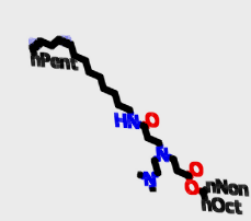 CCCCC/C=C\C/C=C\CCCCCCCCNC(=O)CCN(CCC(=O)OC(CCCCCCCC)CCCCCCCCC)CCN(C)C